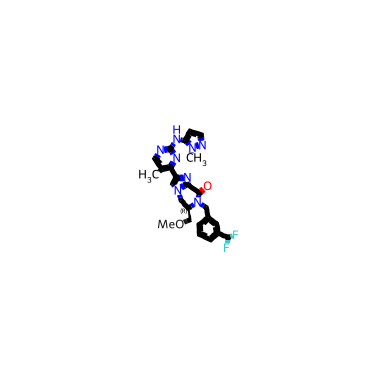 COC[C@H]1Cn2cc(-c3nc(Nc4ccnn4C)ncc3C)nc2C(=O)N1Cc1cccc(C(F)F)c1